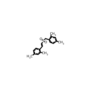 Cc1ccc(C=CS(=O)(=O)Cc2ccc(C)cc2C)c(C)c1